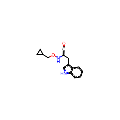 O=C=C(Cc1c[nH]c2ccccc12)NOCC1CC1